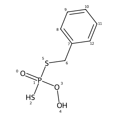 O=P(S)(OO)SCc1ccccc1